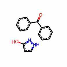 O=C(c1ccccc1)c1ccccc1.Oc1cc[nH]n1